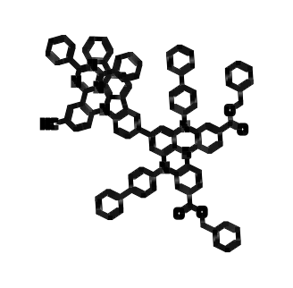 N#Cc1ccc(-n2c3ccc(-c4cc5c6c(c4)N(c4ccc(-c7ccccc7)cc4)c4cc(C(=O)OCc7ccccc7)ccc4B6c4ccc(C(=O)OCc6ccccc6)cc4N5c4ccc(-c5ccccc5)cc4)cc3c3ccc(-c4ccccc4)cc32)c(-c2nc(-c3ccccc3)nc(-c3ccccc3)n2)c1